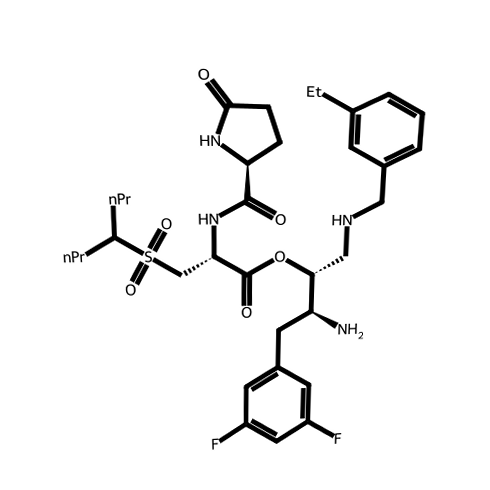 CCCC(CCC)S(=O)(=O)C[C@H](NC(=O)[C@@H]1CCC(=O)N1)C(=O)O[C@H](CNCc1cccc(CC)c1)[C@@H](N)Cc1cc(F)cc(F)c1